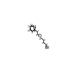 BrCCCCOCCc1ccccn1